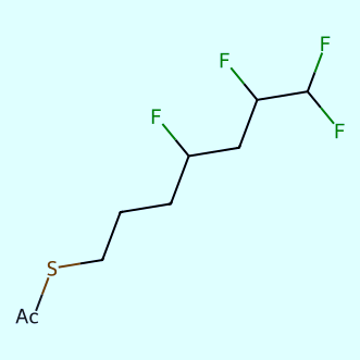 CC(=O)SCCCC(F)CC(F)C(F)F